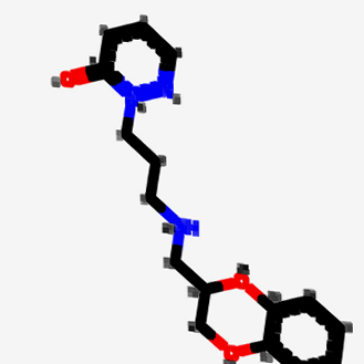 O=c1cccnn1CCCNCC1COc2ccccc2O1